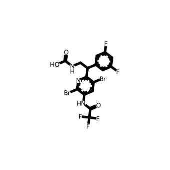 O=C(O)NCC(c1cc(F)cc(F)c1)c1nc(Br)c(NC(=O)C(F)(F)F)cc1Br